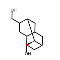 OCC1CC2CCC3CC2CC1[C@@H]3CO